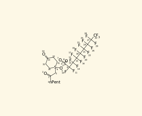 CCCCCC(=O)CS1(OS(=O)(=O)C(F)(F)C(F)(F)C(F)(F)C(F)(F)C(F)(F)C(F)(F)C(F)(F)C(F)(F)F)CCC(=O)CC1